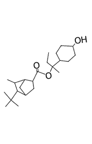 CCC(C)(OC(=O)C1CC2CC1C(C)C2C(C)(C)C)C1CCC(O)CC1